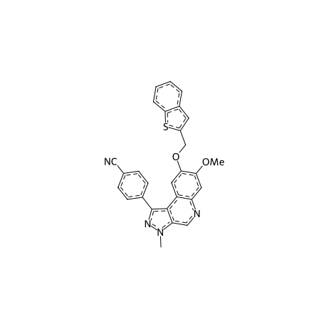 COc1cc2ncc3c(c(-c4ccc(C#N)cc4)nn3C)c2cc1OCc1cc2ccccc2s1